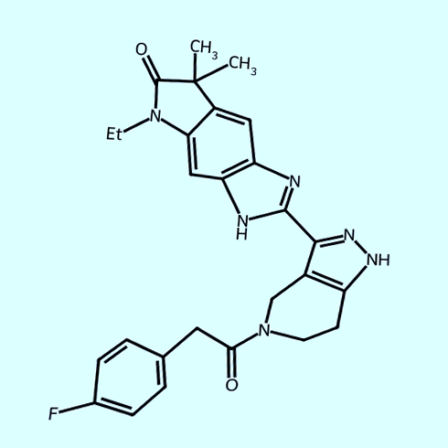 CCN1C(=O)C(C)(C)c2cc3nc(-c4n[nH]c5c4CN(C(=O)Cc4ccc(F)cc4)CC5)[nH]c3cc21